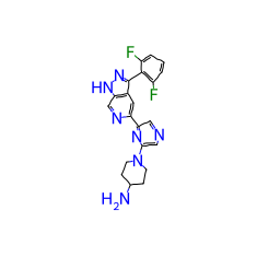 NC1CCN(c2cncc(-c3cc4c(-c5c(F)cccc5F)n[nH]c4cn3)n2)CC1